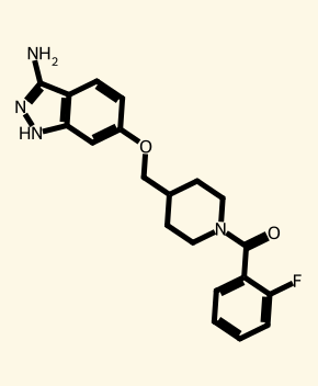 Nc1n[nH]c2cc(OCC3CCN(C(=O)c4ccccc4F)CC3)ccc12